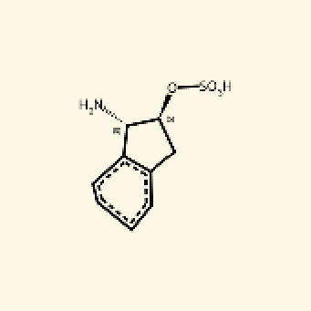 N[C@H]1c2ccccc2C[C@@H]1OS(=O)(=O)O